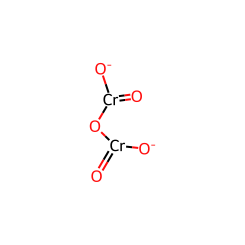 [O]=[Cr]([O-])[O][Cr](=[O])[O-]